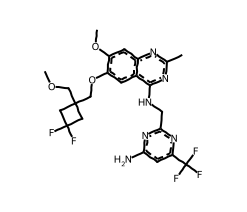 COCC1(COc2cc3c(NCc4nc(N)cc(C(F)(F)F)n4)nc(C)nc3cc2OC)CC(F)(F)C1